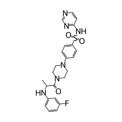 CC(Nc1cccc(F)c1)C(=O)N1CCN(c2ccc(S(=O)(=O)Nc3ccncn3)cc2)CC1